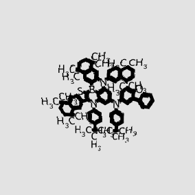 CC(C)(C)c1ccc(N(c2cc3c4c(c2)N(c2ccc(C(C)(C)C)cc2)c2c(sc5cc6c(cc25)C(C)(C)CCC6(C)C)B4c2cc4c(cc2N3c2ccc3c(c2)C(C)(C)CCC3(C)C)C(C)(C)CCC4(C)C)c2ccc3oc4ccccc4c3c2)cc1